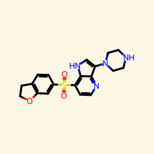 O=S(=O)(c1ccc2c(c1)OCC2)c1ccnc2c(N3CCNCC3)c[nH]c12